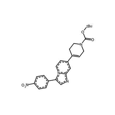 CC(C)(C)OC(=O)N1CC=C(c2ccn3c(-c4ccc([N+](=O)[O-])cc4)cnc3c2)CC1